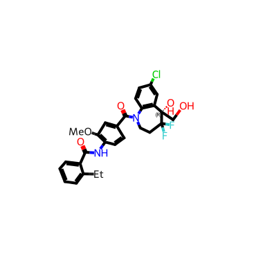 CCc1ccccc1C(=O)Nc1ccc(C(=O)N2CCC(F)(F)[C@](O)(CO)c3cc(Cl)ccc32)cc1OC